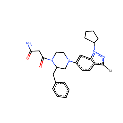 CCc1nn(C2CCCC2)c2cc(N3CCN(C(=O)CC(N)=O)C(Cc4ccccc4)C3)ccc12